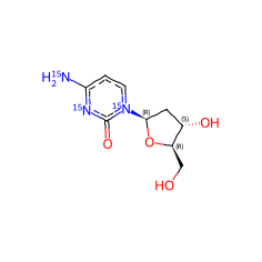 [15NH2]c1cc[15n]([C@H]2C[C@H](O)[C@@H](CO)O2)c(=O)[15n]1